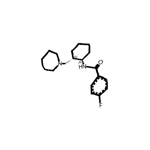 O=C(N[C@@H]1CCCC[C@H]1CN1CCCCC1)c1ccc(F)cc1